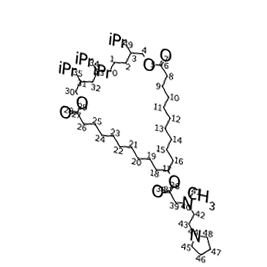 CC(C)CCC(COC(=O)CCCCCCCCCC(CCCCCCCCCC(=O)OCC(CCC(C)C)C(C)C)OC(=O)CN(C)CCN1CCCC1)C(C)C